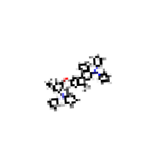 CC(C)(C)c1cc2c3c(c1)N(c1ccccc1)c1ccccc1B3c1cc3c(cc1O2)-c1c(cc(N(c2ccccc2)c2ccccc2)c2ccccc12)C3(C)C